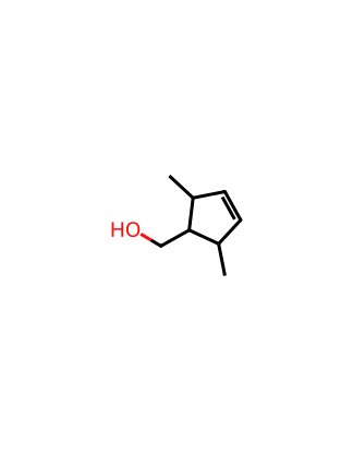 CC1C=CC(C)C1CO